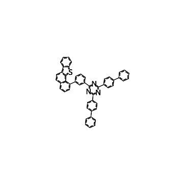 c1ccc(-c2ccc(-c3nc(-c4ccc(-c5ccccc5)cc4)nc(-c4cccc(-c5cccc6ccc7c8ccccc8sc7c56)c4)n3)cc2)cc1